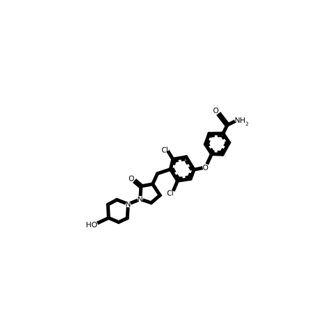 NC(=O)c1ccc(Oc2cc(Cl)c(CC3CCN(N4CCC(O)CC4)C3=O)c(Cl)c2)cc1